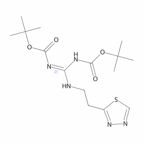 CC(C)(C)OC(=O)/N=C(/NCCc1nncs1)NC(=O)OC(C)(C)C